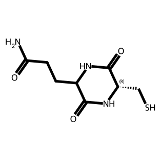 NC(=O)CCC1NC(=O)[C@H](CS)NC1=O